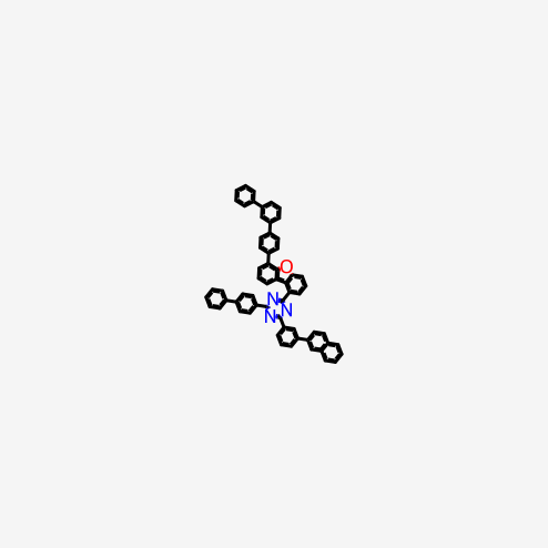 c1ccc(-c2ccc(-c3nc(-c4cccc(-c5ccc6ccccc6c5)c4)nc(-c4cccc5oc6c(-c7ccc(-c8cccc(-c9ccccc9)c8)cc7)cccc6c45)n3)cc2)cc1